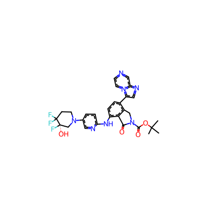 CC(C)(C)OC(=O)N1Cc2c(-c3cnc4cnccn34)ccc(Nc3ccc(N4CCC(F)(F)[C@](O)(F)C4)cn3)c2C1=O